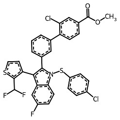 COC(=O)c1ccc(-c2cccc(-c3c(-c4ccsc4C(F)F)c4cc(F)ccc4n3Sc3ccc(Cl)cc3)c2)c(Cl)c1